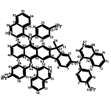 CC(C)c1ccc(N(c2ccc3c(c2)C(C)(C)c2cc4c(N(c5ccc(C(C)C)cc5)c5cncc6ccccc56)c5ccccc5c(N(c5ccc(C(C)C)cc5)c5cncc6ccccc56)c4cc2-3)c2cncc3ccccc23)cc1